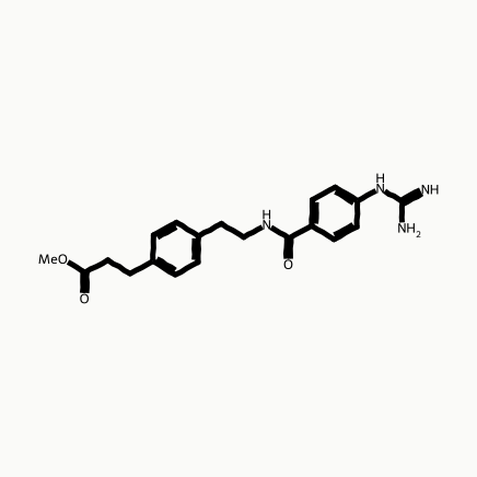 COC(=O)CCc1ccc(CCNC(=O)c2ccc(NC(=N)N)cc2)cc1